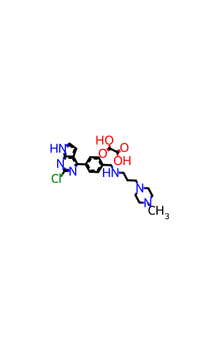 CN1CCN(CCCNCc2ccc(-c3nc(Cl)nc4[nH]ccc34)cc2)CC1.O=C(O)C(=O)O